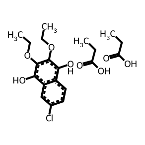 CCC(=O)O.CCC(=O)O.CCOc1c(OCC)c(O)c2cc(Cl)ccc2c1O